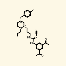 CC(=O)c1cc(NC(=NC#N)NCCC[C@H]2C[C@H](Cc3ccc(F)cc3)CCN2CCF)cc(C(C)=O)c1